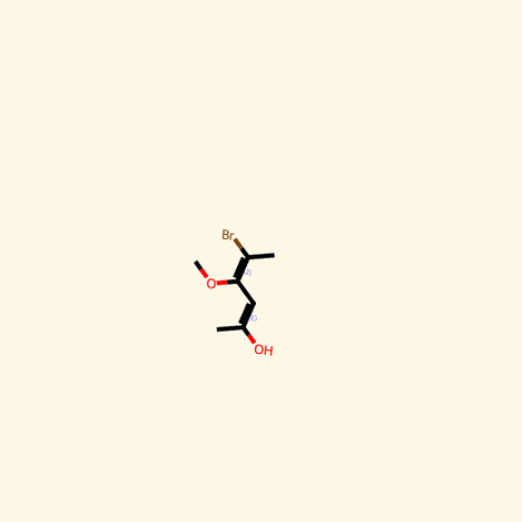 COC(/C=C(\C)O)=C(/C)Br